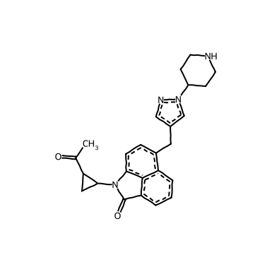 CC(=O)C1CC1N1C(=O)c2cccc3c(Cc4cnn(C5CCNCC5)c4)ccc1c23